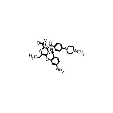 CCc1nc(C(N)=O)c(Nc2ccc(N3CCN(C)CC3)cc2)nc1Oc1cc(N)ccc1C#N